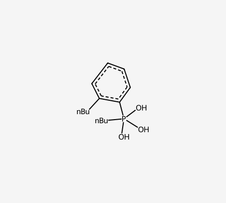 CCCCc1ccccc1P(O)(O)(O)CCCC